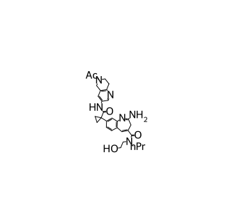 [CH2]C(=O)N1CCc2ncc(NC(=O)C3(c4ccc5c(c4)N=C(N)CC(C(=O)N(CCC)CCO)=C5)CC3)cc2C1